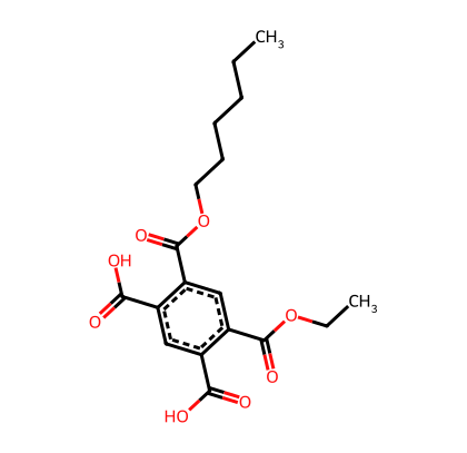 CCCCCCOC(=O)c1cc(C(=O)OCC)c(C(=O)O)cc1C(=O)O